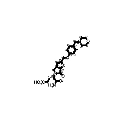 NC(=O)[C@H](CCC(=O)O)N1Cc2cc(COc3ccc(CN4CCOCC4)cc3)sc2C1=O